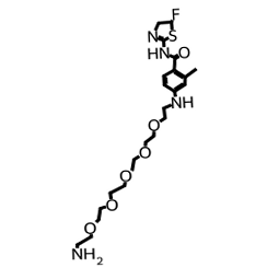 Cc1cc(NCCOCCOCCOCCOCCOCCN)ccc1C(=O)NC1=NCC(F)S1